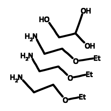 CCOCCN.CCOCCN.CCOCCN.OCC(O)O